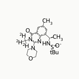 [2H]C([2H])([2H])n1c(N2CCOCC2)nc2c([C@@H](C)N[S@+]([O-])C(C)(C)C)cc(C)cc2c1=O